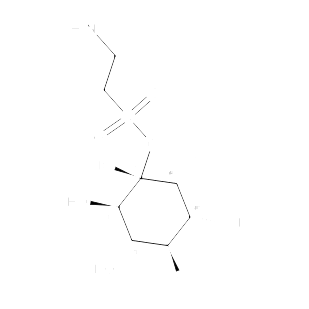 NCCS(=O)(=O)O[C@]1(O)[C@H](O)[C@H](O)[C@@H](O)[C@H](O)[C@H]1O